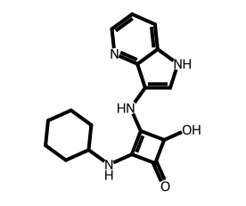 O=C1C(NC2CCCCC2)=C(Nc2c[nH]c3cccnc23)C1O